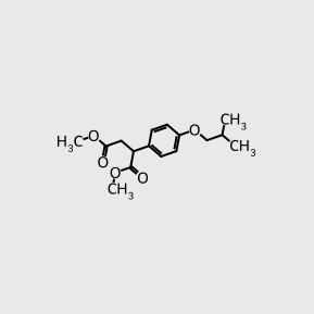 COC(=O)CC(C(=O)OC)c1ccc(OCC(C)C)cc1